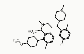 Cc1ccc(Cl)cc1[C@H](CCN(C)C(C(=O)O)c1cccc(C)c1C1CCC(OC(F)(F)F)CC1)N1CCN(C)CC1